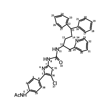 CC(=O)Nc1ccc(-c2nc(NC(=O)NC(CCC(c3ccccc3)c3ccccc3)Cc3ccccn3)sc2Cl)cc1